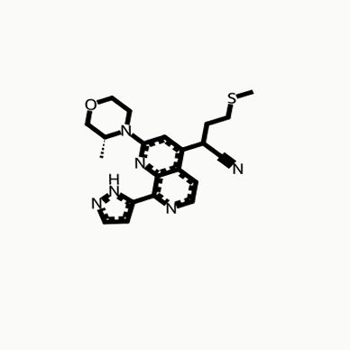 CSCCC(C#N)c1cc(N2CCOC[C@H]2C)nc2c(-c3ccn[nH]3)nccc12